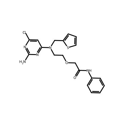 Nc1nc(Cl)cc(N(CCOCC(=O)Nc2ccccc2)Cc2cccs2)n1